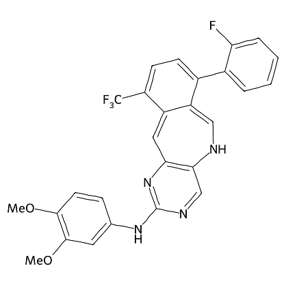 COc1ccc(Nc2ncc3c(n2)C=c2c(C(F)(F)F)ccc(-c4ccccc4F)c2=CN3)cc1OC